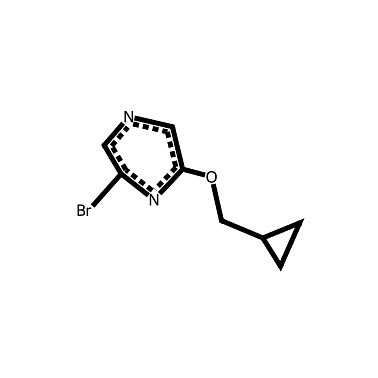 Brc1cncc(OCC2CC2)n1